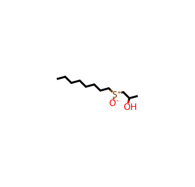 CCCCCCCC[S+]([O-])CC(C)O